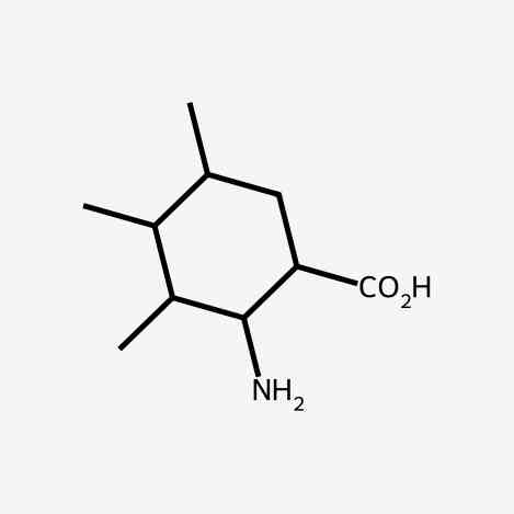 CC1CC(C(=O)O)C(N)C(C)C1C